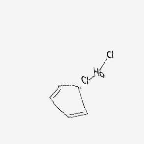 [CH]1C=CC=C1.[Cl][Ho][Cl]